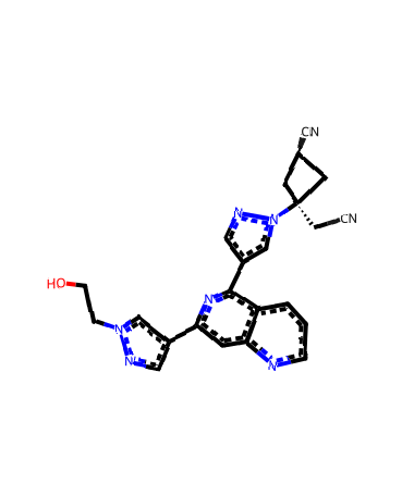 N#CC[C@]1(n2cc(-c3nc(-c4cnn(CCO)c4)cc4ncccc34)cn2)C[C@@H](C#N)C1